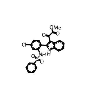 COC(=O)C(=O)c1c(-c2ccc(Cl)cc2NS(=O)(=O)c2ccccc2)[nH]c2ccccc12